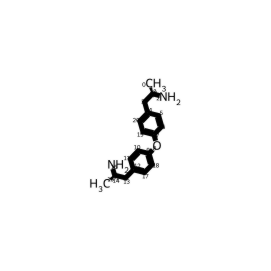 C[C@@H](N)Cc1ccc(Oc2ccc(C[C@@H](C)N)cc2)cc1